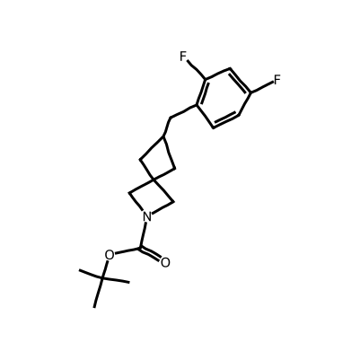 CC(C)(C)OC(=O)N1CC2(CC(Cc3ccc(F)cc3F)C2)C1